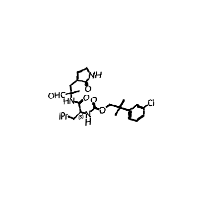 CC(C)C[C@H](NC(=O)OCC(C)(C)c1cccc(Cl)c1)C(=O)NC(C)(C=O)CC1CCNC1=O